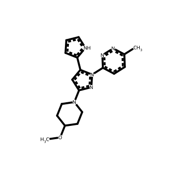 COC1CCN(c2cc(-c3ccc[nH]3)n(-c3ccc(C)nn3)n2)CC1